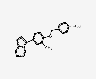 Cc1cc(-c2cnc3ccccn23)ccc1OCc1ccc(C(C)(C)C)cc1